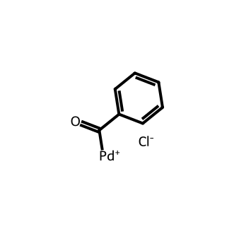 O=[C]([Pd+])c1ccccc1.[Cl-]